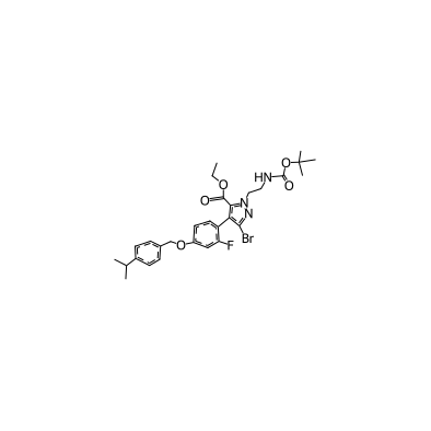 CCOC(=O)c1c(-c2ccc(OCc3ccc(C(C)C)cc3)cc2F)c(Br)nn1CCNC(=O)OC(C)(C)C